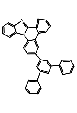 c1ccc(-c2cc(-c3ccccc3)cc(-c3ccc4c(c3)c3ccccc3c3nc5ccccc5n43)c2)cc1